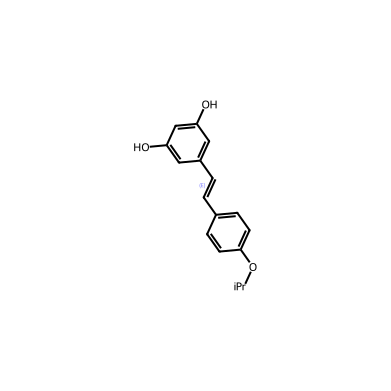 CC(C)Oc1ccc(/C=C/c2cc(O)cc(O)c2)cc1